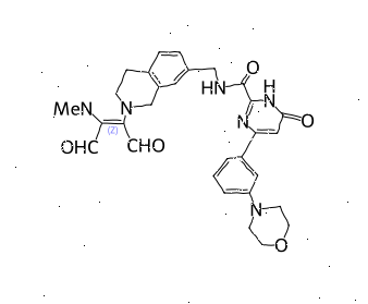 CN/C(C=O)=C(/C=O)N1CCc2ccc(CNC(=O)c3nc(-c4cccc(N5CCOCC5)c4)cc(=O)[nH]3)cc2C1